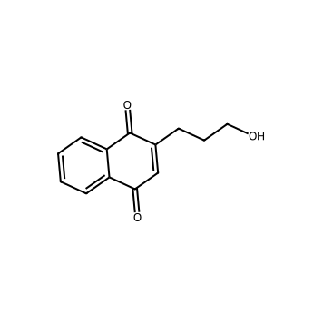 O=C1C=C(CCCO)C(=O)c2ccccc21